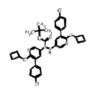 CC(C)(C)OC(=O)N(Nc1cnc(OC2CCC2)c(-c2ccc(Cl)cc2)c1)c1cnc(OC2CCC2)c(-c2ccc(Cl)cc2)c1